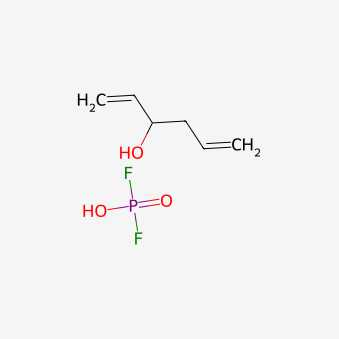 C=CCC(O)C=C.O=P(O)(F)F